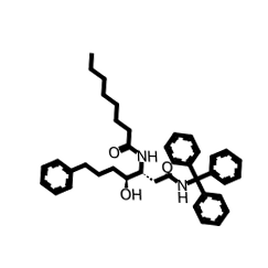 CCCCCCCC(=O)N[C@H](CC(=O)NC(c1ccccc1)(c1ccccc1)c1ccccc1)[C@@H](O)CCCc1ccccc1